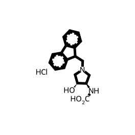 Cl.O=C(O)N[C@@H]1CN(CC2c3ccccc3-c3ccccc32)C[C@H]1O